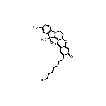 Cc1ccc2c(c1)C(C)(C)C1=C3C=C4C=C(CCCCCCCO)C(=O)C=C4OC3CCN12